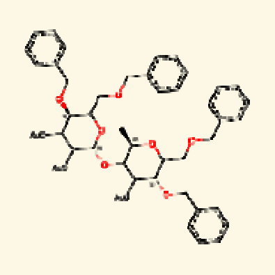 CC(=O)OC1C(OC(C)=O)[C@@H](OCc2ccccc2)C(COCc2ccccc2)O[C@@H]1OC1C(OC(C)=O)[C@@H](OCc2ccccc2)C(COCc2ccccc2)O[C@@H]1C